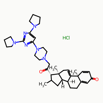 CC1C[C@H]2[C@@H]3CCC4=CC(=O)C=C[C@]4(C)C3=CC[C@]2(C)[C@H]1C(=O)CN1CCN(c2cc(N3CCCC3)nc(N3CCCC3)n2)CC1.Cl